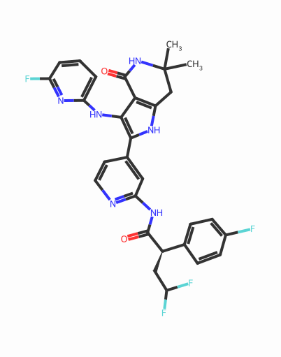 CC1(C)Cc2[nH]c(-c3ccnc(NC(=O)[C@H](CC(F)F)c4ccc(F)cc4)c3)c(Nc3cccc(F)n3)c2C(=O)N1